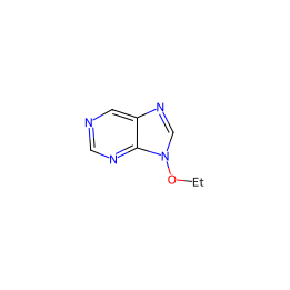 CCOn1cnc2cncnc21